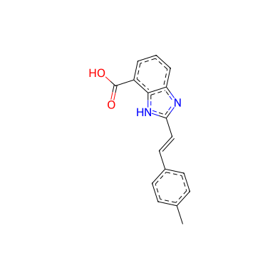 Cc1ccc(C=Cc2nc3cccc(C(=O)O)c3[nH]2)cc1